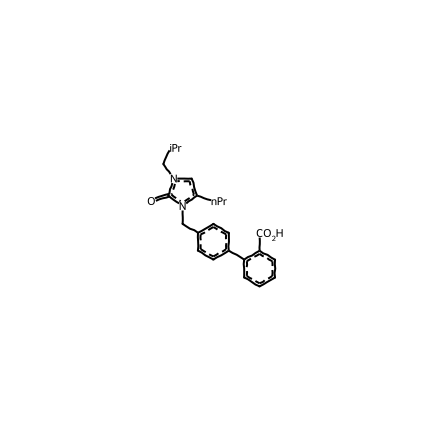 CCCc1cn(CC(C)C)c(=O)n1Cc1ccc(-c2ccccc2C(=O)O)cc1